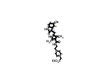 CCOC(=O)CN1CCN(CCNC(=O)c2c(C)[nH]c(/C=C3\C(=O)Nc4ccc(C#N)cc43)c2C)CC1